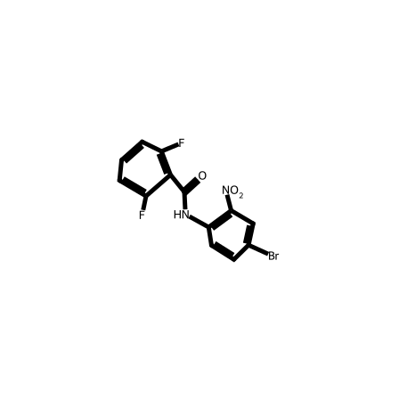 O=C(Nc1ccc(Br)cc1[N+](=O)[O-])c1c(F)cccc1F